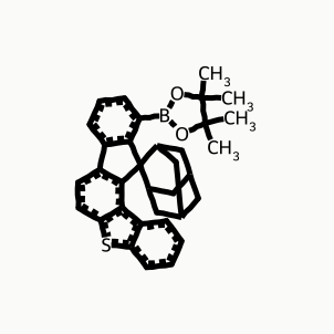 CC1(C)OB(c2cccc3c2C2(c4c-3ccc3sc5ccccc5c43)C3CC4CC(C3)CC2C4)OC1(C)C